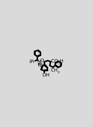 CC(CC(CC(ON(C(c1ccccc1)C(C)C)C(C)(C)C)c1ccc(O)cc1)C(=O)O)c1ccccc1